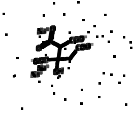 O=C([O-])CC(O)(C(=O)[O-])C(C(=O)[O-])P(=O)=O.[Na+].[Na+].[Na+]